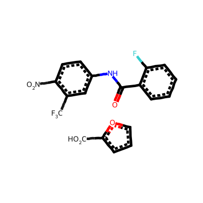 O=C(Nc1ccc([N+](=O)[O-])c(C(F)(F)F)c1)c1ccccc1F.O=C(O)c1ccco1